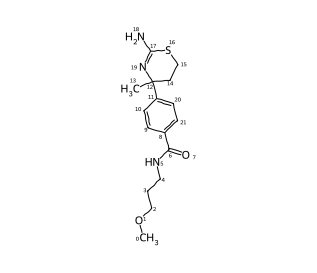 COCCCNC(=O)c1ccc(C2(C)CCSC(N)=N2)cc1